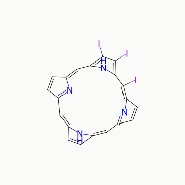 Ic1c(I)c2[nH]c1cc1nc(cc3ccc(cc4nc(c2I)C=C4)[nH]3)C=C1